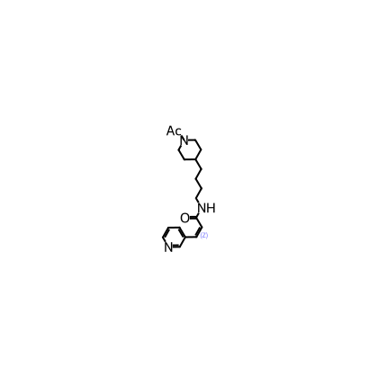 CC(=O)N1CCC(CCCCNC(=O)/C=C\c2cccnc2)CC1